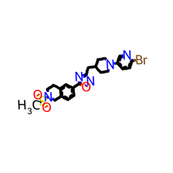 CS(=O)(=O)N1CCc2cc(-c3nc(CC4CCN(c5ccc(Br)nc5)CC4)no3)ccc2C1